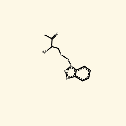 CC(=O)C(N)CSSn1nnc2ccccc21